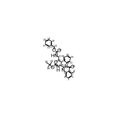 Cc1cccc2nc(C(CCCNC(=O)OCc3ccccc3)NC(=O)OC(C)(C)C)n(-c3ccccc3)c(=O)c12